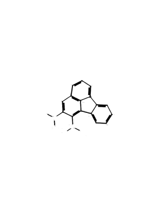 OB(O)c1cc2cccc3c2c(c1B(O)O)-c1ccccc1-3